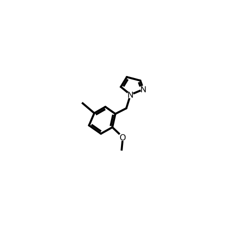 COc1ccc(C)cc1Cn1cccn1